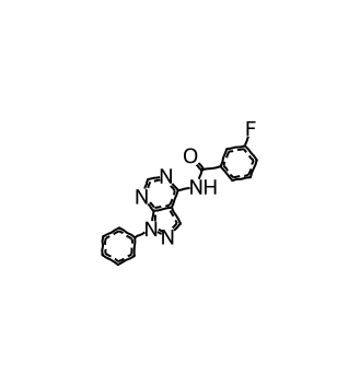 O=C(Nc1ncnc2c1cnn2-c1ccccc1)c1cccc(F)c1